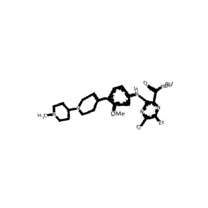 CCCCC(=O)c1nc(CC)c(Cl)nc1Nc1ccc(C2CCN(C3CCN(C)CC3)CC2)c(OC)c1